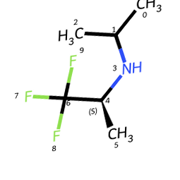 CC(C)N[C@@H](C)C(F)(F)F